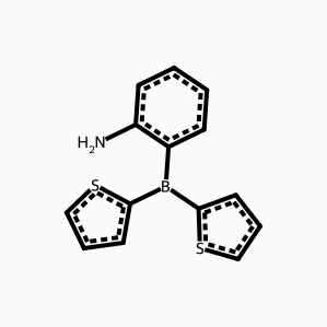 Nc1ccccc1B(c1cccs1)c1cccs1